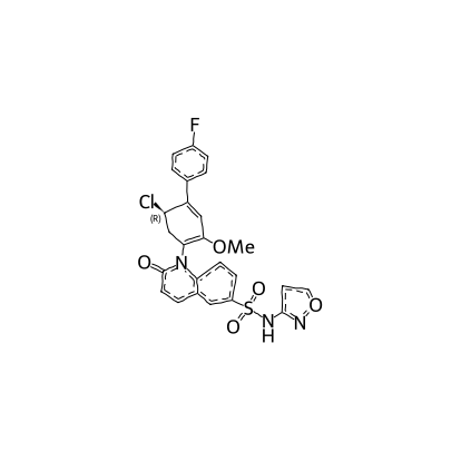 COC1=C(n2c(=O)ccc3cc(S(=O)(=O)Nc4ccon4)ccc32)C[C@@H](Cl)C(c2ccc(F)cc2)=C1